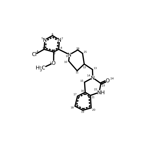 COc1c(Cl)ncnc1N1CCC(CN2Cc3ccccc3NC2=O)CC1